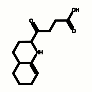 O=C(O)CCC(=O)C1CCC2CCCC=C2N1